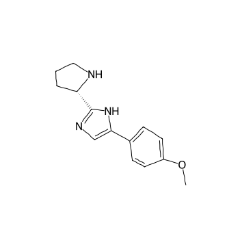 COc1ccc(-c2cnc([C@@H]3CCCN3)[nH]2)cc1